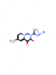 CC1=CCN2CN(C(C)N=[N+]=[N-])C(I)C(=O)C2=C1